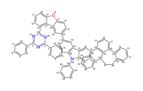 c1ccc(-c2nc(-c3ccccc3)nc(-c3cccc4oc5ccc(-c6ccc7c(c6)c6cc(-c8cccc9c8C(c8ccccc8)CCc8ccccc8-9)ccc6n7-c6ccccc6)cc5c34)n2)cc1